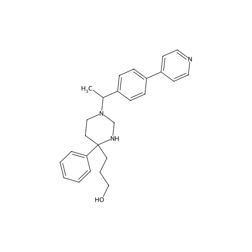 CC(c1ccc(-c2ccncc2)cc1)N1CCC(CCCO)(c2ccccc2)NC1